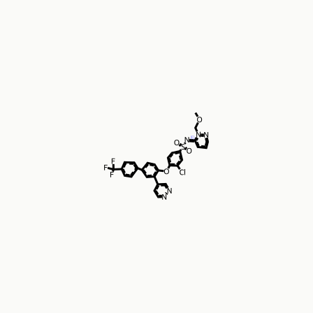 COCn1nccc/c1=N\S(=O)(=O)c1ccc(Oc2ccc(-c3ccc(C(F)(F)F)cc3)cc2-c2ccnnc2)c(Cl)c1